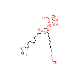 CC/C=C\C/C=C\C/C=C\C/C=C\C/C=C\CCCC(=O)OCC(COC1OC(CO)C(O)C(O)C1O)OC(=O)CCCCCCCCCCCCCCO